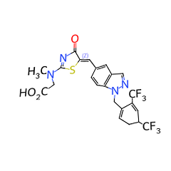 CN(CC(=O)O)C1=NC(=O)/C(=C/c2ccc3c(cnn3CC3=CCC(C(F)(F)F)C=C3C(F)(F)F)c2)S1